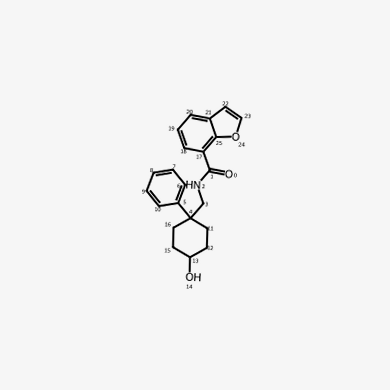 O=C(NCC1(c2ccccc2)CCC(O)CC1)c1cccc2ccoc12